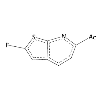 CC(=O)c1ccc2cc(F)sc2n1